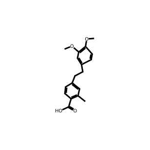 COc1ccc(CCc2ccc(C(=O)O)c(C)c2)cc1OC